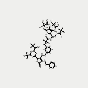 CC(C)(C)C(=O)OCC(OC(=O)C(C)(C)C)C1OC(=O)C(OCc2ccccc2)=C1OCc1cccc(CC(C)(C)C(=O)OC(COC(=O)C(C)(C)C)C2OC(=O)C(OC(=O)C(F)(F)F)=C2OC(=O)C(F)(F)F)c1